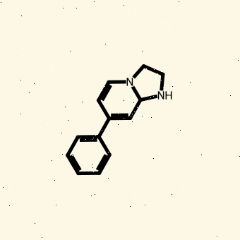 C1=CN2CCNC2C=C1c1ccccc1